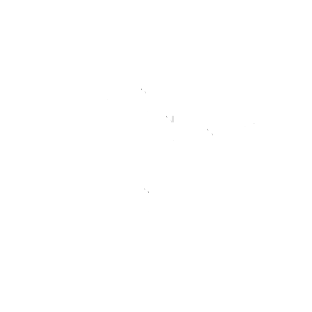 CCOC(=O)c1cc2ccccc2n1-c1ccc(N(CC(C)C)C2CCCCC2)c(NC(=O)Nc2ccc(Cl)cc2F)c1